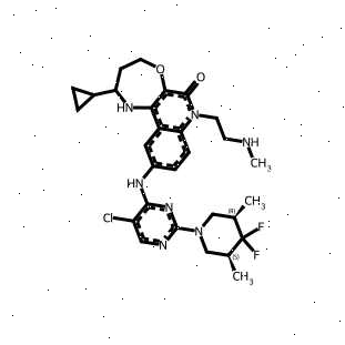 CNCCn1c(=O)c2c(c3cc(Nc4nc(N5C[C@@H](C)C(F)(F)[C@@H](C)C5)ncc4Cl)ccc31)NC(C1CC1)CCO2